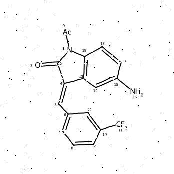 CC(=O)N1C(=O)/C(=C/c2cccc(C(F)(F)F)c2)c2cc(N)ccc21